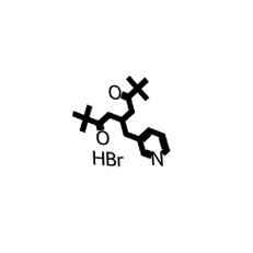 Br.CC(C)(C)C(=O)CC(CC(=O)C(C)(C)C)Cc1cccnc1